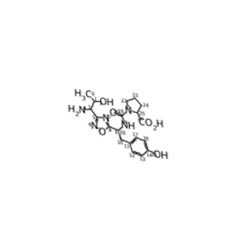 CC(O)C(N)c1noc([C@H](Cc2ccc(O)cc2)NC(=O)N2CCCC2C(=O)O)n1